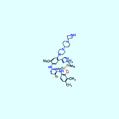 COc1cc(N2CCN(C3CCN(C4CNC4)CC3)CC2)c(-c2cnn(C)c2)cc1Nc1ncc(Br)c(Nc2ccc(C)c(C)c2OP(OC)OC)n1